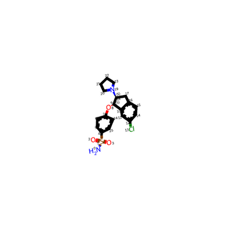 NS(=O)(=O)c1ccc(O[C@H]2c3cc(Cl)ccc3C[C@@H]2N2CCCC2)cc1